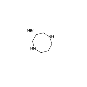 Br.C1CNCCCNC1